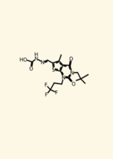 Cc1c(C=NNC(=O)O)sc2c1c(=O)n(CC(C)(C)C)c(=O)n2CCC(F)(F)F